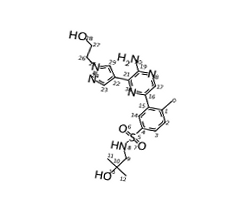 Cc1ccc(S(=O)(=O)NCC(C)(C)O)cc1-c1cnc(N)c(-c2cnn(CCO)c2)n1